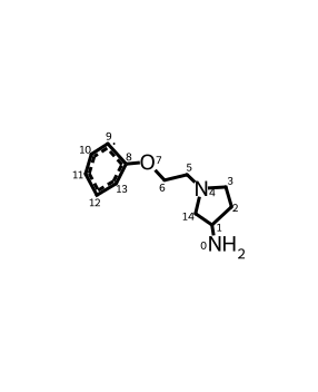 NC1CCN(CCOc2[c]cccc2)C1